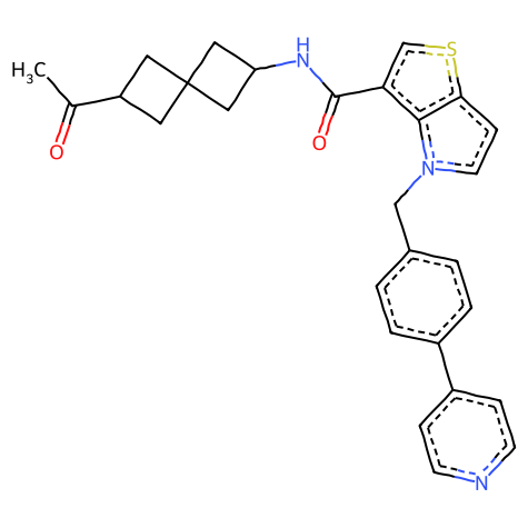 CC(=O)C1CC2(CC(NC(=O)c3csc4ccn(Cc5ccc(-c6ccncc6)cc5)c34)C2)C1